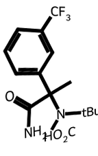 CC(C)(C)N(C(=O)O)C(C)(C(N)=O)c1cccc(C(F)(F)F)c1